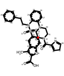 Cc1c(C(=O)O)oc2ccc(S(=O)(=O)N(CCc3ccccc3)c3ccccc3N3CCN(C(=O)C4=CCC=N4)CC3)cc12